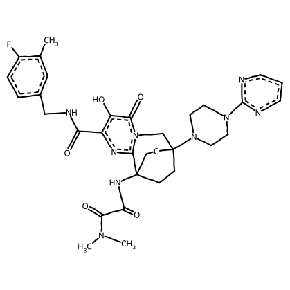 Cc1cc(CNC(=O)c2nc3n(c(=O)c2O)CC2(N4CCN(c5ncccn5)CC4)CCC3(NC(=O)C(=O)N(C)C)CC2)ccc1F